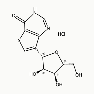 Cl.O=c1[nH]cnc2c([C@@H]3O[C@H](CO)[C@@H](O)[C@H]3O)csc12